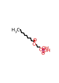 CCCCCCCCCC(=O)OCCCOP(=O)(O)O